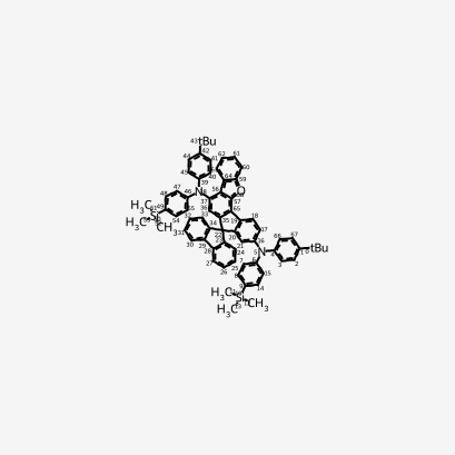 CC(C)(C)c1ccc(N(c2ccc([Si](C)(C)C)cc2)c2ccc3c(c2)C2(c4ccccc4-c4ccccc42)c2cc(N(c4ccc(C(C)(C)C)cc4)c4ccc([Si](C)(C)C)cc4)c4c(oc5ccccc54)c2-3)cc1